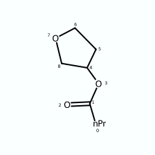 CCCC(=O)OC1CCOC1